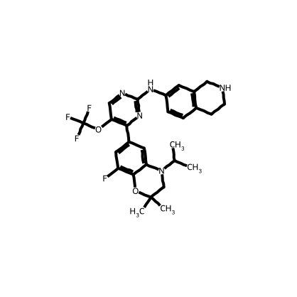 CC(C)N1CC(C)(C)Oc2c(F)cc(-c3nc(Nc4ccc5c(c4)CNCC5)ncc3OC(F)(F)F)cc21